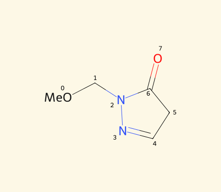 COCN1N=CCC1=O